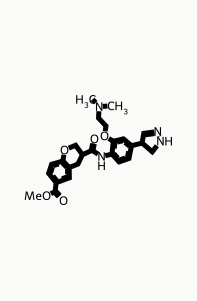 COC(=O)c1ccc2c(c1)CC(C(=O)Nc1ccc(C3C=NNC3)cc1OCCN(C)C)CO2